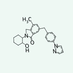 Cc1cc(Cc2ccc(-n3cccn3)cc2)cc2c1CN(C1CCCCC1O)C2=O